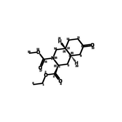 CCOC(=O)[C@@H]1C[C@@H]2CC(=O)CC[C@H]2CN1C(=O)OC